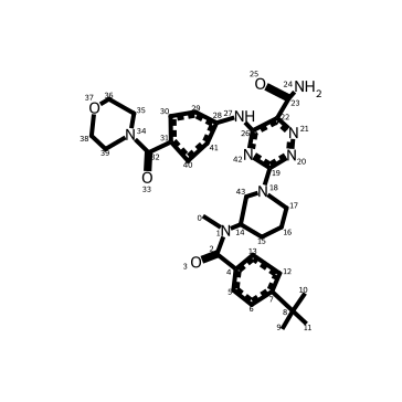 CN(C(=O)c1ccc(C(C)(C)C)cc1)C1CCCN(c2nnc(C(N)=O)c(Nc3ccc(C(=O)N4CCOCC4)cc3)n2)C1